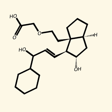 O=C(O)COCC[C@@]12CCC[C@H]1C[C@H](O)[C@H]2C=CC(O)C1CCCCC1